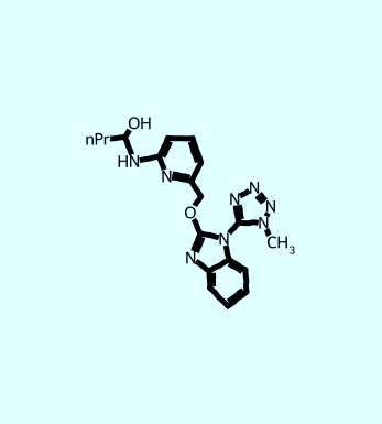 CCCC(O)Nc1cccc(COc2nc3ccccc3n2-c2nnnn2C)n1